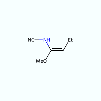 CCC=C(NC#N)OC